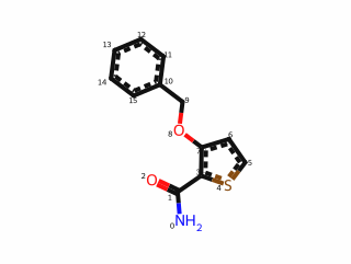 NC(=O)c1sccc1OCc1ccccc1